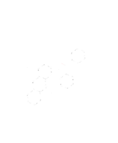 Cc1cc(C)c(-c2c(C)cc(C)c3cc4ccccc4cc23)c2c1Cc1ccccc1C2=O